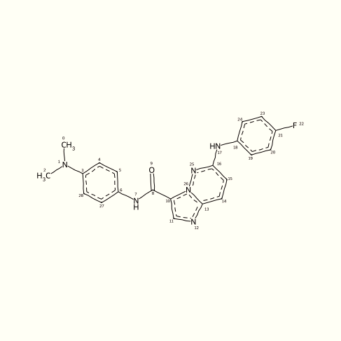 CN(C)c1ccc(NC(=O)c2cnc3ccc(Nc4ccc(F)cc4)nn23)cc1